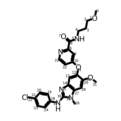 COCCCNC(=O)c1cc(Oc2cc3nc(Nc4ccc(Cl)cc4)n(C)c3cc2OC)ccn1